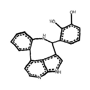 Oc1cccc(C2Nc3ccccc3-c3ccnc4[nH]cc2c34)c1O